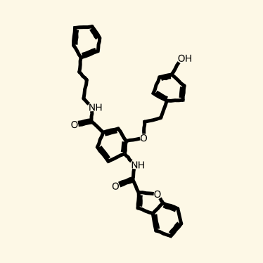 O=C(NCCCc1ccccc1)c1ccc(NC(=O)c2cc3ccccc3o2)c(OCCc2ccc(O)cc2)c1